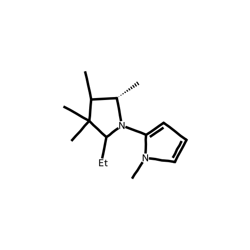 CCC1N(c2cccn2C)[C@@H](C)C(C)C1(C)C